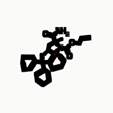 C=CCOC(=O)N1C[C@@H](SC(c2ccccc2)(c2ccccc2)c2ccccc2)C[C@]1(C)C(N)=O